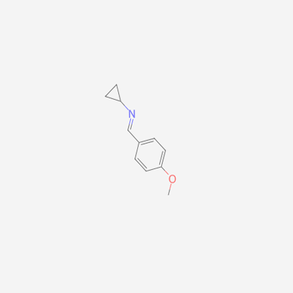 COc1ccc(C=NC2CC2)cc1